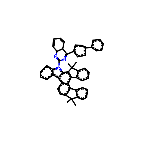 CC1(C)c2ccccc2-c2c1ccc1c2c2c(c3c1c1ccccc1n3C1=NC3C=CC=CC3C(c3ccc(-c4ccccc4)cc3)=N1)C(C)(C)c1ccccc1-2